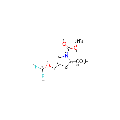 CC(C)(C)OC(=O)N1CC(COC(F)F)CC1C(=O)O